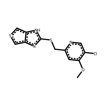 COc1cc(CSc2nc3cscc3[nH]2)ncc1Cl